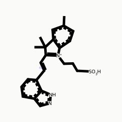 Cc1ccc2c(c1)C(C)(C)C(/C=C/c1cccc3cn[nH]c13)=[N+]2CCCS(=O)(=O)O